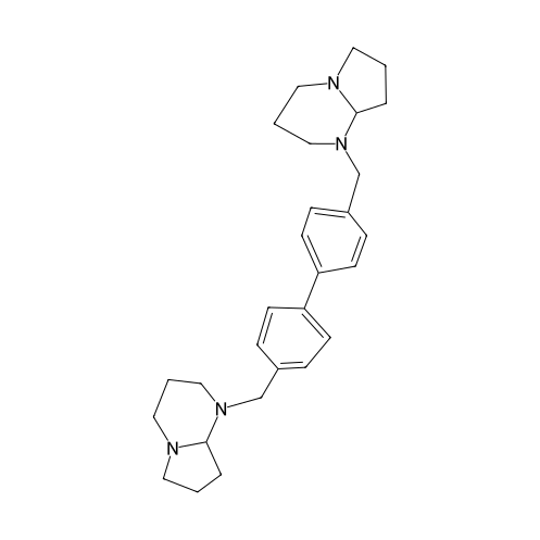 c1cc(-c2ccc(CN3CCCN4CCCC43)cc2)ccc1CN1CCCN2CCCC21